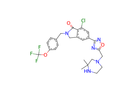 CC1(C)CN(Cc2nc(-c3cc(Cl)c4c(c3)CN(Cc3ccc(OC(F)(F)F)cc3)C4=O)no2)CCN1